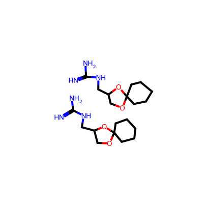 N=C(N)NCC1COC2(CCCCC2)O1.N=C(N)NCC1COC2(CCCCC2)O1